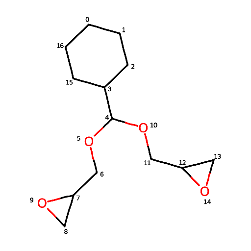 C1CCC(C(OCC2CO2)OCC2CO2)CC1